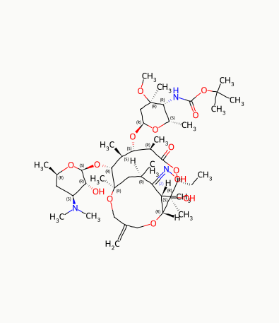 C=C1CO[C@@H]2[C@@H](C)/C(=N\O)[C@H](C)C[C@@](C)(OC1)[C@H](O[C@@H]1O[C@H](C)C[C@H](N(C)C)[C@H]1O)[C@@H](C)[C@H](O[C@H]1C[C@@](C)(OC)[C@H](NC(=O)OC(C)(C)C)[C@H](C)O1)[C@@H](C)C(=O)O[C@H](CC)[C@@]2(C)O